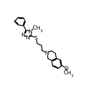 COc1ccc2c(c1)CCN(CCCSc1nnc(-c3ccccc3)n1C)C2